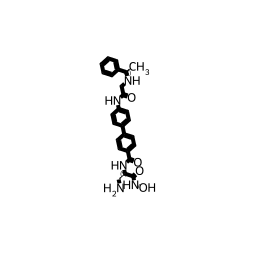 C[C@H](NCC(=O)Nc1ccc(-c2ccc(C(=O)N[C@@H](CN)C(=O)NO)cc2)cc1)c1ccccc1